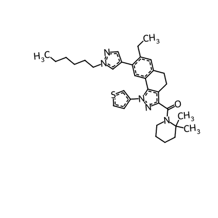 CCCCCCn1cc(-c2cc3c(cc2CC)CCc2c(C(=O)N4CCCCC4(C)C)nn(-c4ccsc4)c2-3)cn1